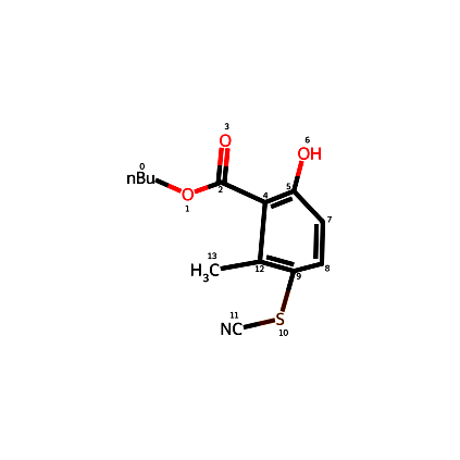 CCCCOC(=O)c1c(O)ccc(SC#N)c1C